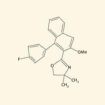 COc1cc2ccccc2c(-c2ccc(F)cc2)c1C1=NC(C)(C)CO1